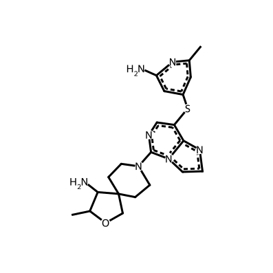 Cc1cc(Sc2cnc(N3CCC4(CC3)COC(C)C4N)n3ccnc23)cc(N)n1